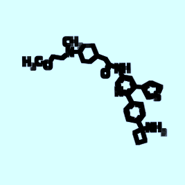 COCCN(C)C1CCC(CC(=O)Nc2cnc(-c3ccc(C4(N)CCC4)cc3)c(-c3ccsc3)c2)CC1